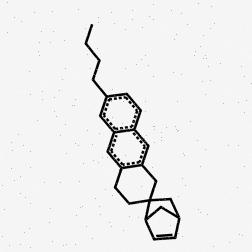 CCCCc1ccc2cc3c(cc2c1)CCC1(C3)CC2C=CC1C2